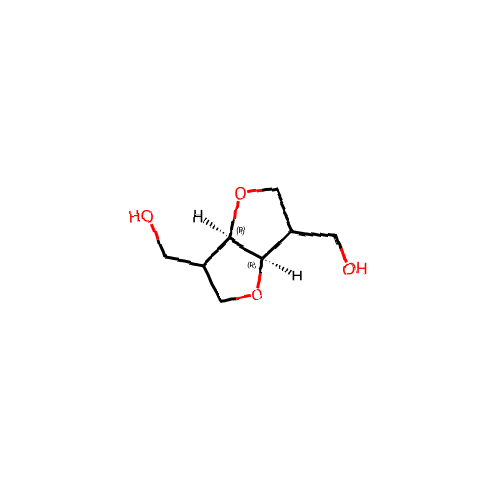 OCC1CO[C@@H]2C(CO)CO[C@H]12